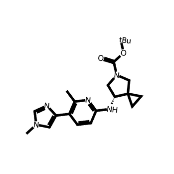 Cc1nc(N[C@@H]2CN(C(=O)OC(C)(C)C)CC23CC3)ccc1-c1cn(C)cn1